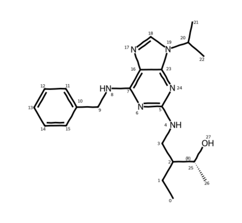 CCC(CNc1nc(NCc2ccccc2)c2ncn(C(C)C)c2n1)[C@@H](C)O